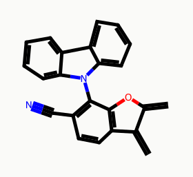 C=c1oc2c(-n3c4ccccc4c4ccccc43)c(C#N)ccc2c1=C